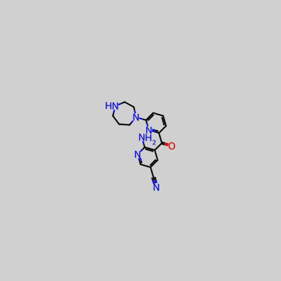 N#Cc1cnc(N)c(C(=O)c2cccc(N3CCCNCC3)n2)c1